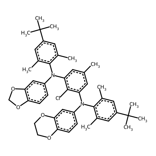 Cc1cc(N(c2ccc3c(c2)OCCO3)c2c(C)cc(C(C)(C)C)cc2C)c(Cl)c(N(c2ccc3c(c2)OCO3)c2c(C)cc(C(C)(C)C)cc2C)c1